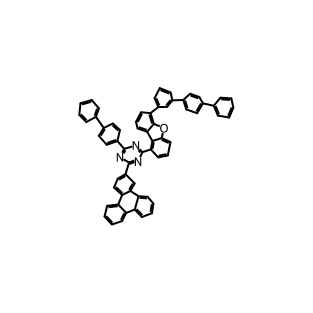 c1ccc(-c2ccc(-c3cccc(-c4cccc5c4oc4cccc(-c6nc(-c7ccc(-c8ccccc8)cc7)nc(-c7ccc8c9ccccc9c9ccccc9c8c7)n6)c45)c3)cc2)cc1